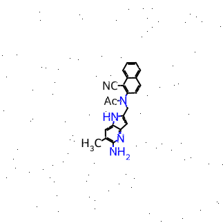 CC(=O)N(Cc1cc2nc(N)c(C)cc2[nH]1)c1ccc2ccccc2c1C#N